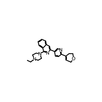 CCN1CCN(c2nc(-c3ccc(C4=CCOCC4)nc3)cc3ccccc23)CC1